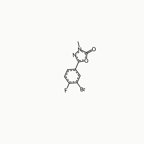 Cn1nc(-c2ccc(F)c(Br)c2)oc1=O